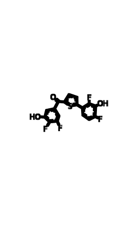 O=C(c1cc(O)c(F)c(F)c1)c1ccc(-c2ccc(F)c(O)c2F)s1